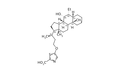 CC[C@H]1[C@@H](O)[C@@H]2[C@H](CC[C@]3(C)[C@@H]([C@H](C)CCOc4cnc(C(=O)O)s4)CC[C@@H]23)[C@@]2(C)CCCC[C@@H]12